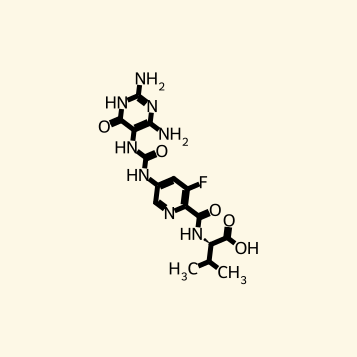 CC(C)[C@H](NC(=O)c1ncc(NC(=O)Nc2c(N)nc(N)[nH]c2=O)cc1F)C(=O)O